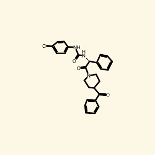 O=C(Nc1ccc(Cl)cc1)N[C@@H](C(=O)N1CCC(C(=O)c2ccccc2)CC1)c1ccccc1